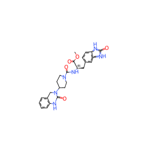 COC(=O)[C@@H](Cc1ccc2[nH]c(=O)[nH]c2c1)NC(=O)N1CCC(N2Cc3ccccc3NC2=O)CC1